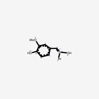 COc1cc(/C=[N+](/O)C(C)C)ccc1O